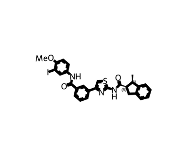 COc1ccc(NC(=O)c2cccc(-c3csc(NC(=O)[C@@H]4Cc5ccccc5[C@@H]4C)n3)c2)cc1I